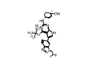 BC(B)(B)Oc1nc(N[C@H]2CC[C@](C)(O)CC2)nc2[nH]cc(-c3ccc4nnn(CC(F)F)c4c3)c12